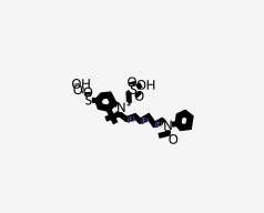 CC(=O)N(/C=C/C=C/C=C/C1=[N+](CCS(=O)(=O)O)c2ccc(SOOO)cc2C1(C)C)c1ccccc1